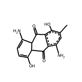 Cc1cc(N)c2c(c1O)C(=O)C1C(N)=CC=C(O)C1C2=O